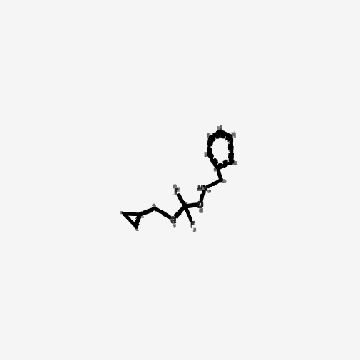 FC(F)(OCC1CC1)ONCc1ccccc1